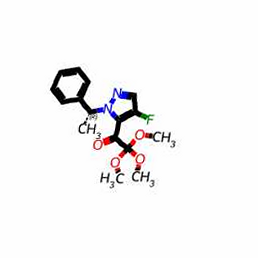 COC(OC)(OC)C(=O)c1c(F)cnn1[C@H](C)c1ccccc1